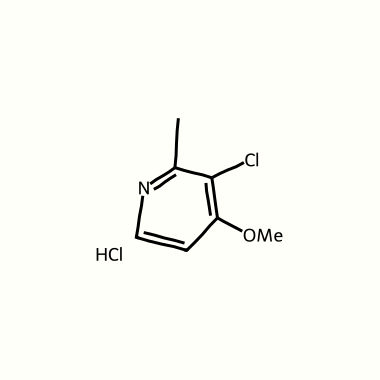 COc1ccnc(C)c1Cl.Cl